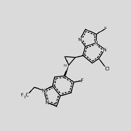 Fc1cc2cnn(CC(F)(F)F)c2cc1[C@H]1CC1c1cc(Cl)nn2c(F)cnc12